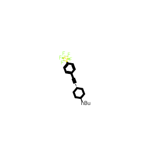 CCCC[C@H]1CC[C@H](C#Cc2ccc(S(F)(F)(F)(F)F)cc2)CC1